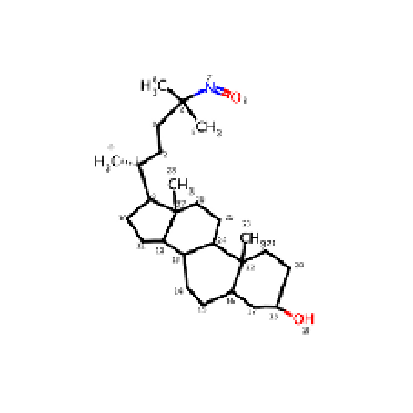 C[C@H](CCC(C)(C)N=O)C1CCC2C3CCC4CC(O)CCC4(C)C3CCC21C